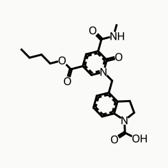 CCCCOC(=O)c1cc(C(=O)NC)c(=O)n(Cc2cccc3c2CCN3C(=O)O)c1